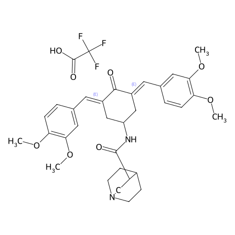 COc1ccc(/C=C2\CC(NC(=O)C3CN4CCC3CC4)C/C(=C\c3ccc(OC)c(OC)c3)C2=O)cc1OC.O=C(O)C(F)(F)F